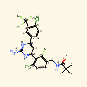 CC(C)(C)C(=O)NCc1ccc(Cl)c(-c2cc(-c3ccc(Cl)c(C(F)(F)F)c3)nc(N)n2)c1F